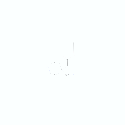 CC(C)(C)OC(=O)CC1(C(N)=S)CCNCC1